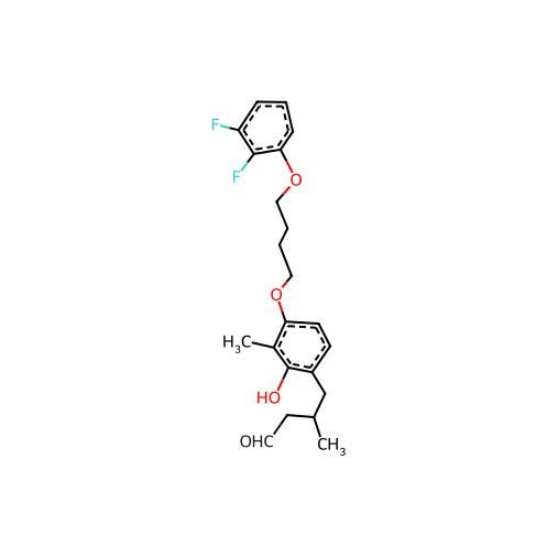 Cc1c(OCCCCOc2cccc(F)c2F)ccc(CC(C)CC=O)c1O